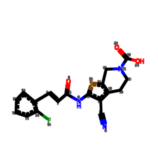 N#Cc1c(NC(=O)C=Cc2ccccc2F)sc2c1CCN(C(=O)O)C2